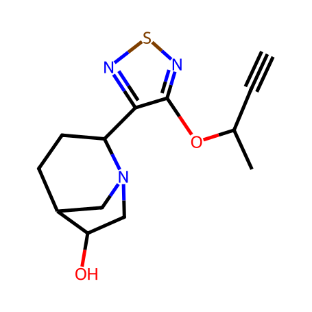 C#CC(C)Oc1nsnc1C1CCC2CN1CC2O